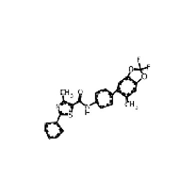 Cc1cc2c(cc1-c1ccc(NC(=O)c3sc(-c4ccccc4)nc3C)cc1)OC(F)(F)O2